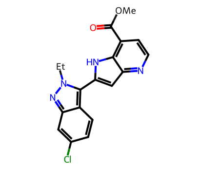 CCn1nc2cc(Cl)ccc2c1-c1cc2nccc(C(=O)OC)c2[nH]1